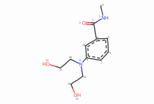 CNC(=O)c1cccc(N(CCO)CCO)c1